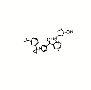 O=C(c1ccn(C2(c3cccc(Cl)c3)CC2)c1)c1cncnc1N[C@@H]1C[CH][C@H](O)C1